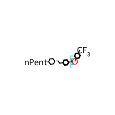 CCCCC[C@H]1CC[C@H](CCc2ccc(C(F)(F)Oc3ccc(C(F)(F)F)cc3)cc2)CC1